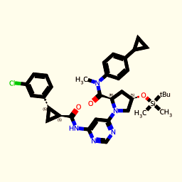 CN(C(=O)[C@H]1C[C@H](O[Si](C)(C)C(C)(C)C)CN1c1cc(NC(=O)[C@H]2C[C@@H]2c2cccc(Cl)c2)ncn1)c1ccc(C2CC2)cc1